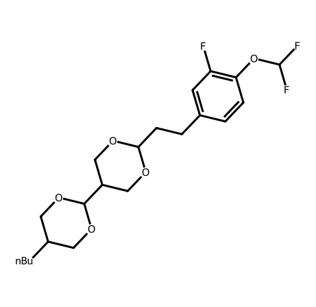 CCCCC1COC(C2COC(CCc3ccc(OC(F)F)c(F)c3)OC2)OC1